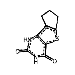 O=c1[nH]c(=O)c2sc3c(c2[nH]1)CCC3